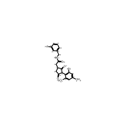 CCc1cc(C)cc(C)c1C1C(=O)CC(CC(=O)NCc2cccc(F)c2)C1=O